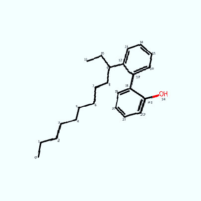 CCCCCCCCCC(CC)c1ccccc1-c1ccccc1O